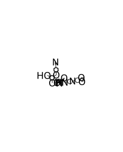 N#Cc1ccc(Oc2cc(O)cc(O)c2-c2cc(C(=O)NC3CCN(C4CCC5(CC4)OCCO5)CC3)no2)cc1